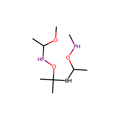 COC(C)POC(C)(C)BC(C)OPC